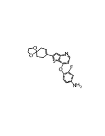 Nc1ccc(Oc2ccnc3cc(C4=CCC5(CC4)OCCO5)sc23)c(F)c1